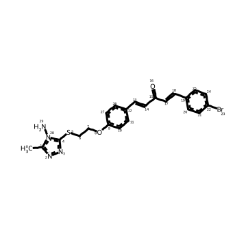 Cc1nnc(SCCOc2ccc(C=CC(=O)C=Cc3ccc(Br)cc3)cc2)n1N